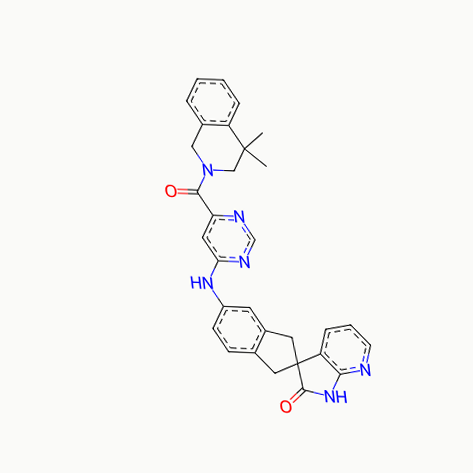 CC1(C)CN(C(=O)c2cc(Nc3ccc4c(c3)CC3(C4)C(=O)Nc4ncccc43)ncn2)Cc2ccccc21